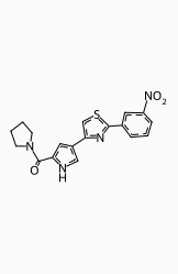 O=C(c1cc(-c2csc(-c3cccc([N+](=O)[O-])c3)n2)c[nH]1)N1CCCC1